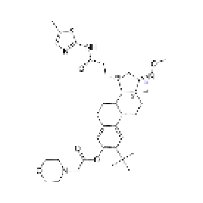 CO/N=C1\C[C@@H](CCC(=O)Nc2ncc(C)s2)C2C3CCc4cc(OC(=O)CN5CCOCC5)c(C(C)(C)C)cc4C3CC[C@]12C